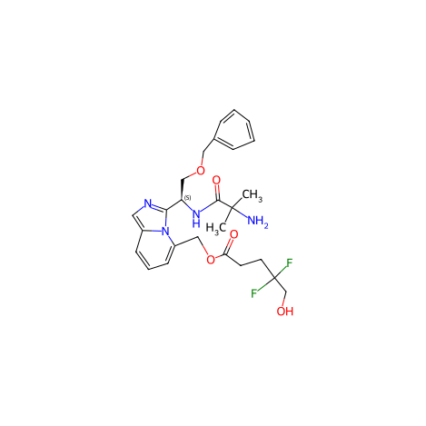 CC(C)(N)C(=O)N[C@H](COCc1ccccc1)c1ncc2cccc(COC(=O)CCC(F)(F)CO)n12